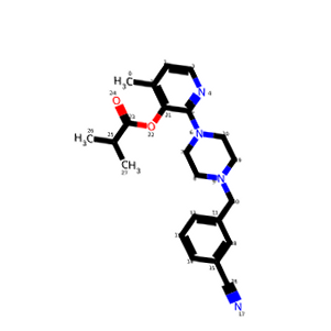 Cc1ccnc(N2CCN(Cc3cccc(C#N)c3)CC2)c1OC(=O)C(C)C